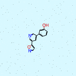 Oc1cccc(-c2cncc(-c3ccno3)c2)c1